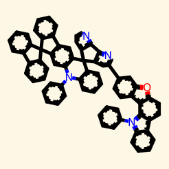 c1ccc(N2c3ccccc3C3(c4cc5c(cc42)C2(c4ccccc4-c4ccccc42)c2ccccc2-5)c2cccnc2-c2ncc(-c4ccc5c(c4)oc4ccc6c7ccccc7n(-c7ccccc7)c6c45)cc23)cc1